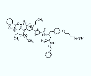 CCCO[C@H](C[C@H](C(C)C)N(COCC)C(=O)[C@@H](NC(=O)[C@H]1CCCCN1C)[C@@H](C)CC)c1nc(C(=O)N[C@@H](Cc2ccc(OCCCCN=[N+]=[N-])cc2)C[C@H](C)C(=O)OCc2ccccc2)cs1